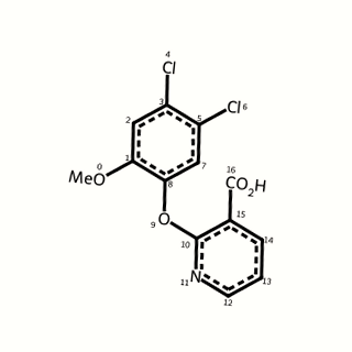 COc1cc(Cl)c(Cl)cc1Oc1ncccc1C(=O)O